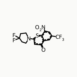 O=c1cc(N2CCC(F)(F)CC2)sc2c([N+](=O)[O-])cc(C(F)(F)F)cc12